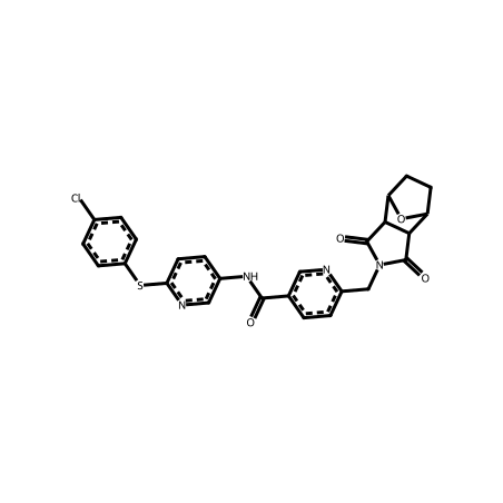 O=C(Nc1ccc(Sc2ccc(Cl)cc2)nc1)c1ccc(CN2C(=O)C3C4CCC(O4)C3C2=O)nc1